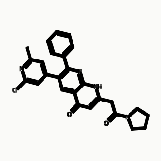 Cc1cc(-c2cc3c(=O)cc(CC(=O)N4CCCC4)[nH]c3nc2-c2ccccc2)cc(Cl)n1